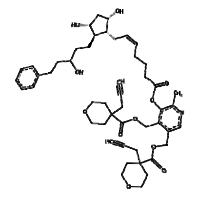 C#CCC1(C(=O)OCc2cnc(C)c(OC(=O)CCC/C=C\C[C@@H]3[C@@H](CCC(O)CCc4ccccc4)[C@H](O)C[C@@H]3O)c2COC(=O)C2(CC#C)CCOCC2)CCOCC1